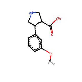 COc1cccc(C2CNCC2C(=O)O)c1